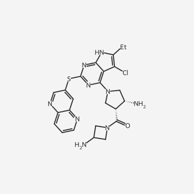 CCc1[nH]c2nc(Sc3cnc4cccnc4c3)nc(N3C[C@H](N)[C@H](C(=O)N4CC(N)C4)C3)c2c1Cl